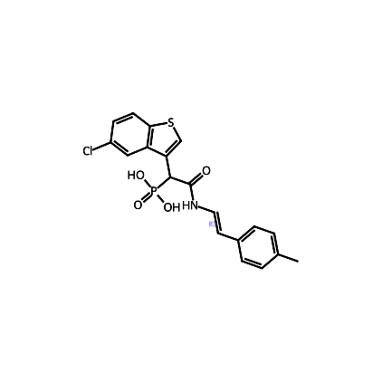 Cc1ccc(/C=C/NC(=O)C(c2csc3ccc(Cl)cc23)P(=O)(O)O)cc1